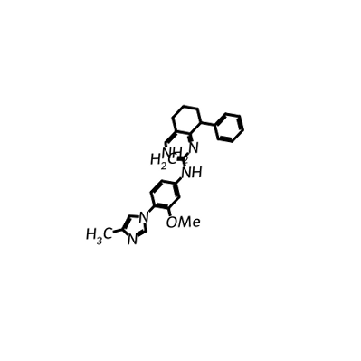 C=C(/N=C1\C(=C/N)CCCC1c1ccccc1)Nc1ccc(-n2cnc(C)c2)c(OC)c1